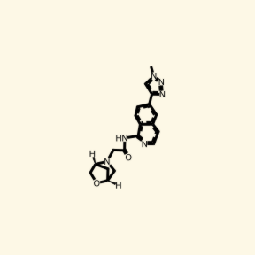 Cn1cc(-c2ccc3c(NC(=O)CN4C[C@H]5C[C@@H]4CO5)nccc3c2)nn1